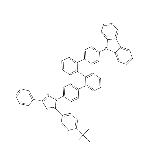 CC(C)(C)c1ccc(-c2cc(-c3ccccc3)nn2-c2ccc(-c3ccccc3-c3ccccc3-c3ccc(-n4c5ccccc5c5ccccc54)cc3)cc2)cc1